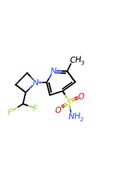 Cc1cc(S(N)(=O)=O)cc(N2CCC2C(F)F)n1